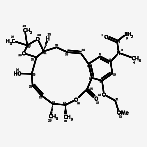 BC(=O)N(C)c1cc2c(c(OCOC)c1)C(=O)O[C@@H](C)[C@H](C)/C=C\C(O)C1OC(C)(C)O[C@H]1C/C=C/2